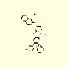 COc1nc(N2C3CCC2COC3)c(-c2cnn(C)c2)cc1Nc1ncc(Br)c(Nc2ccc3nccnc3c2P(C)(C)=O)n1